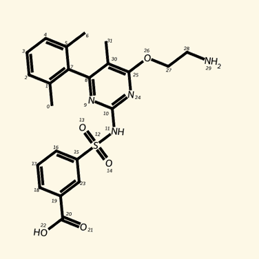 Cc1cccc(C)c1-c1nc(NS(=O)(=O)c2cccc(C(=O)O)c2)nc(OCCN)c1C